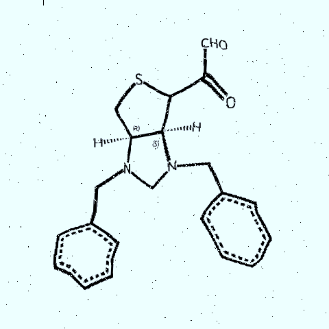 O=CC(=O)C1SC[C@H]2[C@@H]1N(Cc1ccccc1)CN2Cc1ccccc1